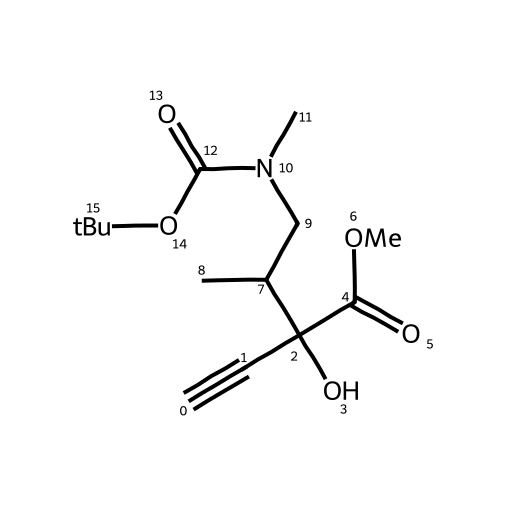 C#CC(O)(C(=O)OC)C(C)CN(C)C(=O)OC(C)(C)C